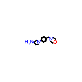 NC1CCN(c2ccc(CN3CCOCC3)cc2)C1